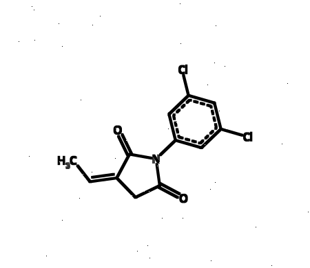 CC=C1CC(=O)N(c2cc(Cl)cc(Cl)c2)C1=O